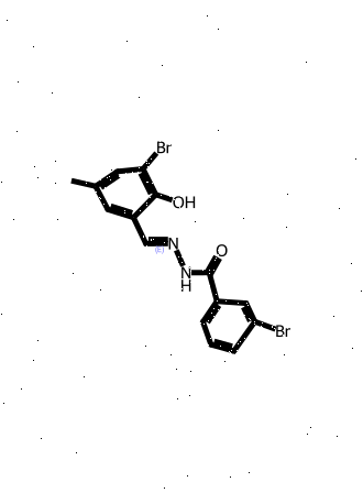 Cc1cc(Br)c(O)c(/C=N/NC(=O)c2cccc(Br)c2)c1